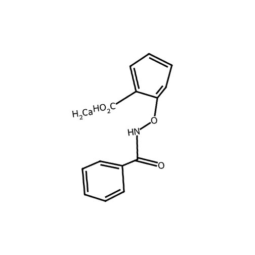 O=C(NOc1ccccc1C(=O)O)c1ccccc1.[CaH2]